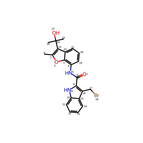 Cc1oc2c(NC(=O)c3[nH]c4ccccc4c3CBr)cccc2c1C(C)(C)O